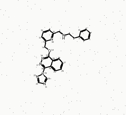 c1ccc(CCNCc2cccc(COc3nnc(-n4cncn4)c4ccccc34)n2)cc1